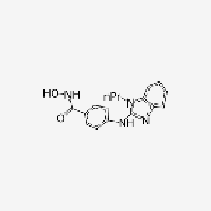 CCCn1c(Nc2ccc(C(=O)NO)cc2)nc2ccccc21